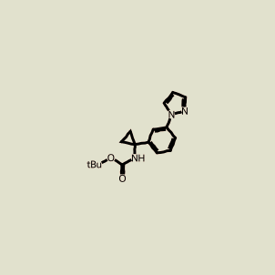 CC(C)(C)OC(=O)NC1(c2cccc(-n3cccn3)c2)CC1